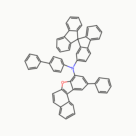 c1ccc(-c2ccc(N(c3ccc4c(c3)C3(c5ccccc5-c5ccccc53)c3ccccc3-4)c3cc(-c4ccccc4)cc4c3oc3ccc5ccccc5c34)cc2)cc1